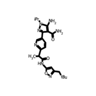 CC(C(=O)Nc1cc(CC(C)(C)C)no1)c1ccc(-c2nn(C(C)C)c(N)c2C(N)=O)cn1